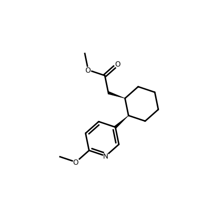 COC(=O)C[C@H]1CCCC[C@H]1c1ccc(OC)nc1